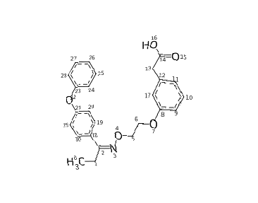 CCC(=NOCCOc1cccc(CC(=O)O)c1)c1ccc(Oc2ccccc2)cc1